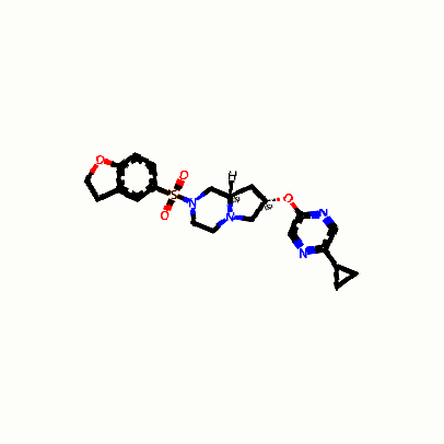 O=S(=O)(c1ccc2c(c1)CCO2)N1CCN2C[C@@H](Oc3cnc(C4CC4)cn3)C[C@H]2C1